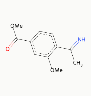 COC(=O)c1ccc(C(C)=N)c(OC)c1